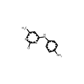 Cc1cc(Nc2ccc(N)cc2)nc(Cl)n1